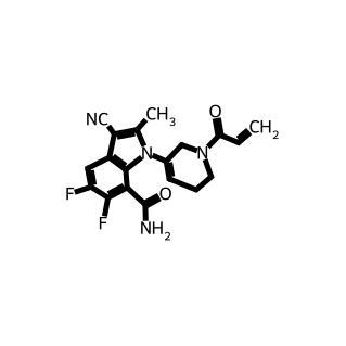 C=CC(=O)N1CCC=C(n2c(C)c(C#N)c3cc(F)c(F)c(C(N)=O)c32)C1